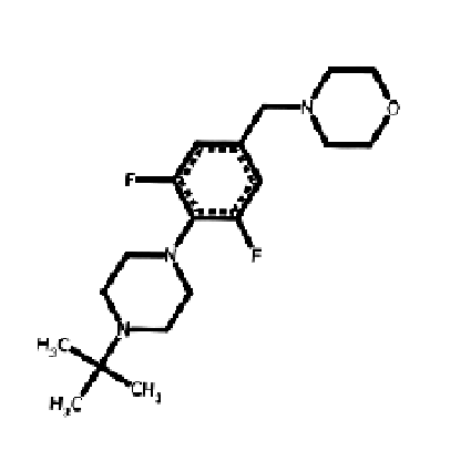 CC(C)(C)N1CCN(c2c(F)cc(CN3CCOCC3)cc2F)CC1